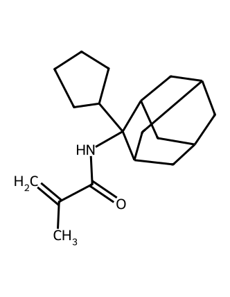 C=C(C)C(=O)NC1(C2CCCC2)C2CC3CC(C2)CC1C3